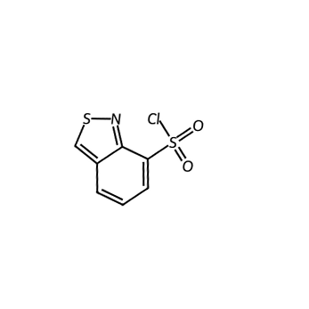 O=S(=O)(Cl)c1cccc2csnc12